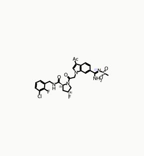 CC(=O)c1cn(CC(=O)N2C[C@H](F)C[C@H]2C(=O)NCc2cccc(Cl)c2F)c2cc(/C(N)=N/S(C)(=O)=O)ccc12